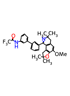 COc1cc2c(c3c1OC(C)(C)C3)C(c1cccc(-c3cccc(NC(=O)C(F)(F)F)c3)c1)=NC(C)(C)C2